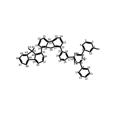 Cc1cccc(-c2nc(-c3ccccc3)nc(-c3cccc(-c4cccc5c4Cc4c-5cccc4-c4cccc5c4C(C)(C)c4ccccc4-5)c3)n2)c1